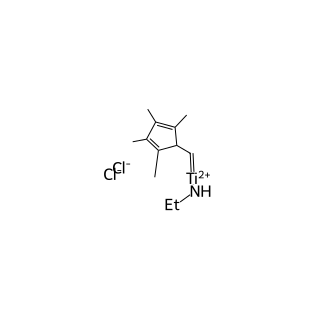 CC[NH][Ti+2]=[CH]C1C(C)=C(C)C(C)=C1C.[Cl-].[Cl-]